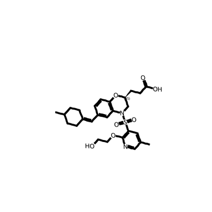 Cc1cnc(OCCO)c(S(=O)(=O)N2C[C@H](CCC(=O)O)Oc3ccc(C=C4CCC(C)CC4)cc32)c1